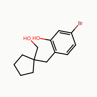 OCC1(Cc2ccc(Br)cc2O)CCCC1